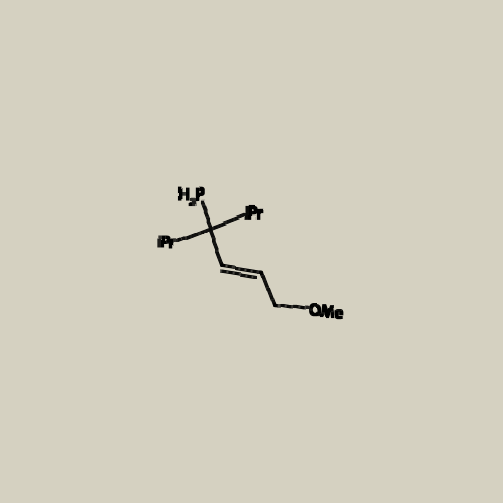 COCC=CC(P)(C(C)C)C(C)C